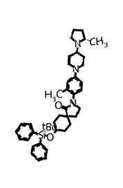 Cc1cc(N2CCC(N3CCC[C@@H]3C)CC2)ccc1N1CCC2(CCC(O[Si](c3ccccc3)(c3ccccc3)C(C)(C)C)CC2)C1=O